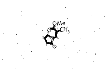 COC(=O)C(C)=CN1CCCC1=O